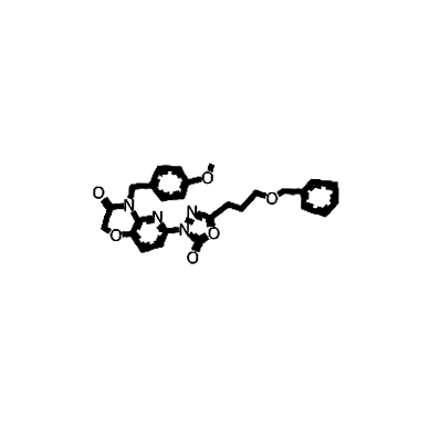 COc1ccc(CN2C(=O)COc3ccc(-n4nc(CCCOCc5ccccc5)oc4=O)nc32)cc1